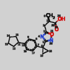 C=C(Cc1nc(C2(c3ccc(C4CCCC4)cc3)CC2)no1)C(=O)O